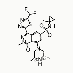 C[C@H]1CN(c2cc(S(=O)(=O)NC3(C)CC3)cc3c(-c4nnc(C(F)F)s4)nn(C)c(=O)c23)C[C@H](C)N1